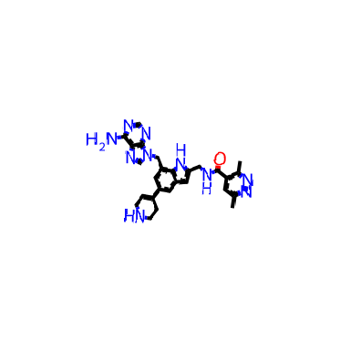 Cc1cc(C(=O)NCc2cc3cc(C4=CCNCC4)cc(Cn4cnc5c(N)ncnc54)c3[nH]2)c(C)nn1